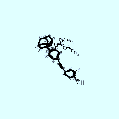 CCOC(OC)Oc1cc(C#Cc2ccc(O)cc2)ccc1C12CC3CC(CC(C3)C1)C2